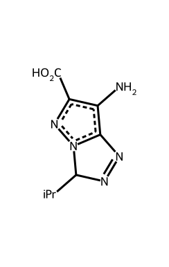 CC(C)C1N=Nc2c(N)c(C(=O)O)nn21